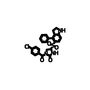 O=C1NC(S(=O)(=O)c2ccc3c(c2-c2ccccc2)CCN3)CN1C(=O)c1ccc(Cl)cc1